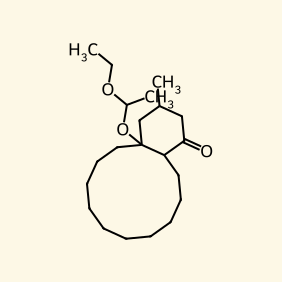 CCOC(C)OC12CCCCCCCCCCC1C(=O)CC(C)C2